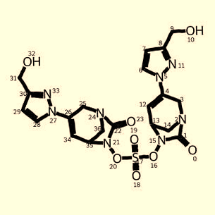 O=C1N2CC(n3ccc(CO)n3)=CC(C2)N1OS(=O)(=O)ON1C(=O)N2CC(n3ccc(CO)n3)=CC1C2